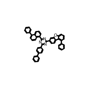 c1ccc(-c2ccc(-c3nc(-c4ccc5c(c4)oc4cccc(-c6ccccc6)c45)nc(-c4cccc5c(-c6ccccc6)cccc45)n3)cc2)cc1